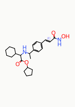 CC(NC(C(=O)OC1CCCC1)C1CCCCC1)c1ccc(/C=C/C(=O)NO)cc1